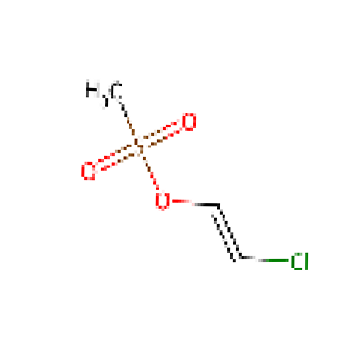 CS(=O)(=O)OC=CCl